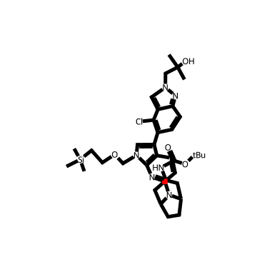 CC(C)(O)Cn1cc2c(Cl)c(-c3cn(COCC[Si](C)(C)C)c4nc(N5C6CCC5CC(NC(=O)OC(C)(C)C)C6)cnc34)ccc2n1